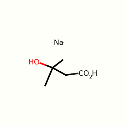 CC(C)(O)CC(=O)O.[Na]